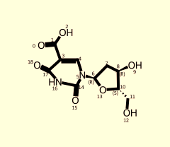 O=C(O)c1cn([C@H]2C[C@@H](O)[C@H](CO)O2)c(=O)[nH]c1=O